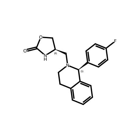 O=C1N[C@H](CN2CCc3ccccc3[C@@H]2c2ccc(F)cc2)CO1